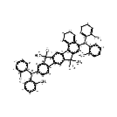 CC1=CCCC=C1N(c1ccccc1C)c1cc2c(c3c1=CCCC=3)-c1cc3c(cc1C2(C)C)-c1ccc(N(c2ccccc2C)c2ccccc2C)cc1C3(C)C